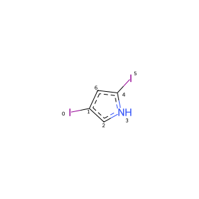 Ic1c[nH]c(I)c1